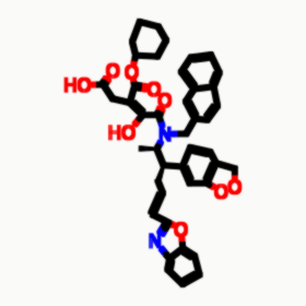 C[C@H]([C@H](C/C=C/c1nc2ccccc2o1)c1ccc2c(c1)OOC2)N(Cc1ccc2ccccc2c1)C(=O)/C(O)=C(/CC(=O)O)C(=O)OC1CCCCC1